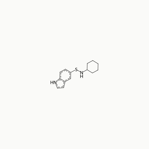 c1cc2cc(SNC3CCCCC3)ccc2[nH]1